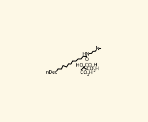 CCCCCCCCCCCCCCCCCCCCCC(=O)NCCCN(C)C.O=C(O)CC(O)(CC(=O)O)C(=O)O